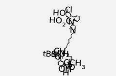 CC(C)(C)[Si](C)(C)O[C@@H](CNCCCCCCCCCN1CCC(N(C(=O)O)c2ccccc2-c2ccc(O)c(Cl)c2)CC1)c1ccc(O)c(NS(C)(=O)=O)c1